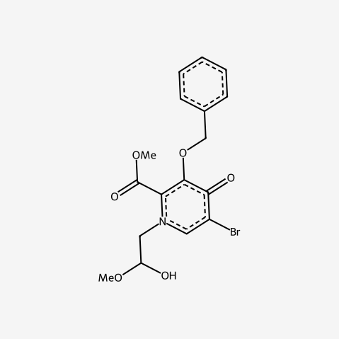 COC(=O)c1c(OCc2ccccc2)c(=O)c(Br)cn1CC(O)OC